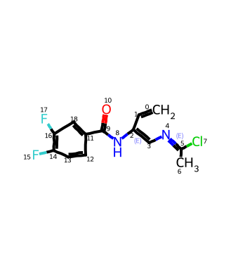 C=C/C(=C\N=C(/C)Cl)NC(=O)c1ccc(F)c(F)c1